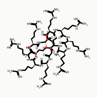 CCCC[C@H](N)C(=O)N[C@@H](CCCNC(=N)N)C(=O)N[C@@H](CCCNC(=N)N)C(=O)N[C@@H](CCCNC(=N)N)C(=O)N[C@@H](CCCNC(=N)N)C(=O)N[C@@H](CCCNC(=N)N)C(=O)N[C@@H](CCCNC(=N)N)C(=O)N[C@@H](CCCNC(=N)N)C(=O)N[C@@H](CCCNC(=N)N)C(=O)N[C@@H](CCCNC(=N)N)C(=O)N[C@H](CCC(=O)O)C(=O)O